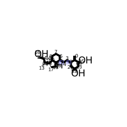 C=C1/C(=C/C=C2\CCC[C@]3(C)[C@@H]([C@H](C)CCO)CC[C@@H]23)C[C@@H](O)C[C@@H]1O